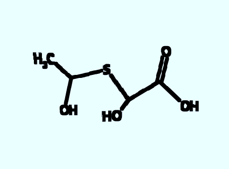 CC(O)SC(O)C(=O)O